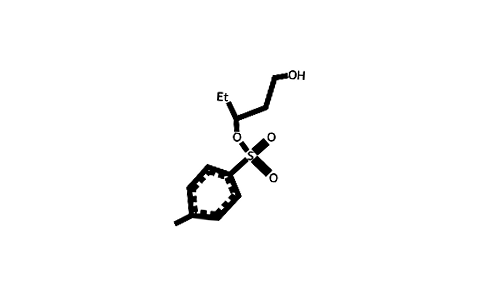 CCC(CCO)OS(=O)(=O)c1ccc(C)cc1